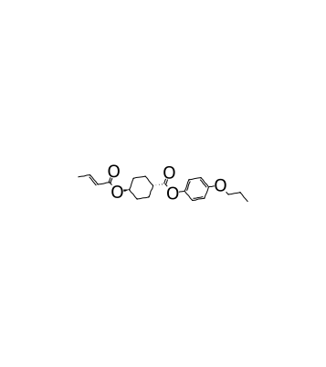 CC=CC(=O)O[C@H]1CC[C@H](C(=O)Oc2ccc(OCCC)cc2)CC1